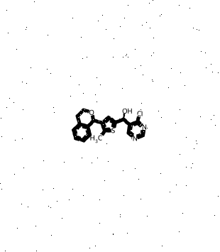 Cc1sc([C@@H](O)c2cncnc2Cl)cc1C1OCCc2ccccc21